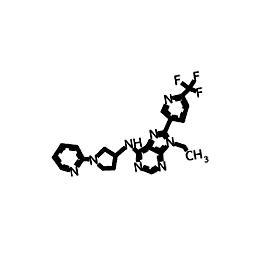 CCn1c(-c2ccc(C(F)(F)F)nc2)nc2c(NC3CCN(c4ccccn4)C3)ncnc21